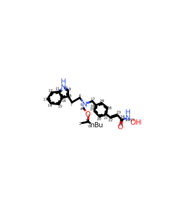 CCCCC(C)OCN(CCc1c[nH]c2ccccc12)Cc1ccc(/C=C/C(=O)NO)cc1